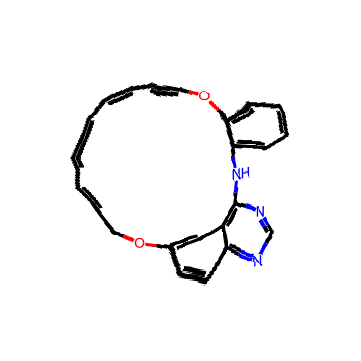 C1=C\C=C\C=C/COc2ccc3ncnc(c3c2)Nc2ccccc2O\C=C/1